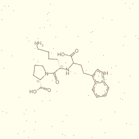 NCCCC[C@H](NC(CCc1c[nH]c2ccccc12)C(=O)O)C(=O)N1CCC[C@H]1C(=O)O